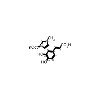 CCCCCCCCN1C=CN(C)C1.O=C(O)/C=C/c1ccc(O)c(O)c1